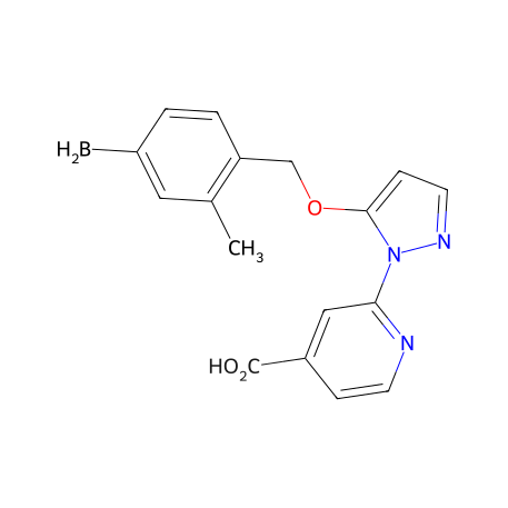 Bc1ccc(COc2ccnn2-c2cc(C(=O)O)ccn2)c(C)c1